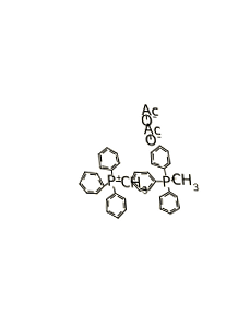 CC(=O)[O-].CC(=O)[O-].C[P+](c1ccccc1)(c1ccccc1)c1ccccc1.C[P+](c1ccccc1)(c1ccccc1)c1ccccc1